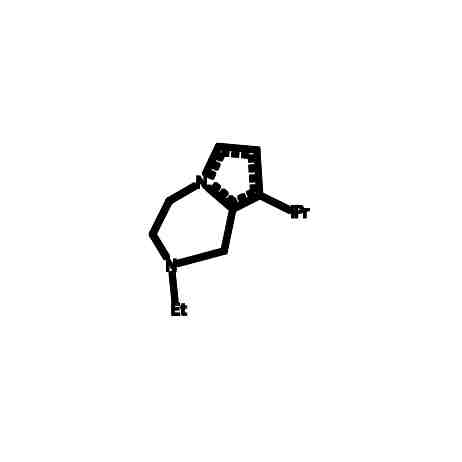 CCN1CCn2ccc(C(C)C)c2C1